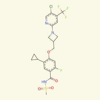 CS(=O)(=O)NC(=O)c1cc(C2CC2)c(OCC2CN(c3cc(C(F)(F)F)c(Cl)cn3)C2)cc1F